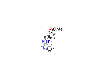 CCCCc1nc2cnc3ccccc3c2n1Cc1ccc(C(=O)OC)cc1